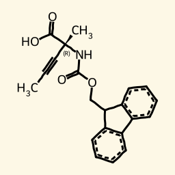 CC#C[C@@](C)(NC(=O)OCC1c2ccccc2-c2ccccc21)C(=O)O